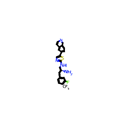 N[C@H](CNc1ncc(-c2ccc3cnccc3c2)s1)Cc1ccc(C(F)(F)F)c(F)c1